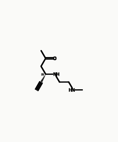 C#C[C@H](CC(C)=O)NCCNC